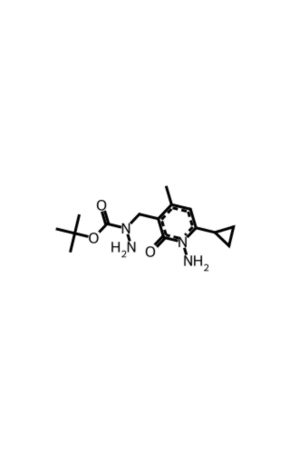 Cc1cc(C2CC2)n(N)c(=O)c1CN(N)C(=O)OC(C)(C)C